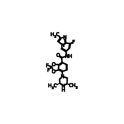 Cc1cn2cc(NC(=O)c3ccc(N4C[C@@H](C)N[C@@H](C)C4)c4c3OC(F)(F)O4)cc(F)c2n1